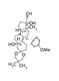 C#C[C@@]1(O)CC[C@H]2[C@@H]3CC[C@@]4(O)CC5(CCC4=C3[C@@H](c3ccc(OC)cc3)C[C@]21C)OCC(C)(C)CO5